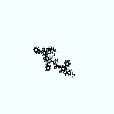 CC(C)(C)OC(=O)C(=O)[C@H](CCC(=O)NCCCC[C@H](NC(=O)CC[C@H](NCc1ccccc1)C(=O)C(=O)OC(C)(C)C)C(=O)OCc1ccccc1)NCc1ccccc1